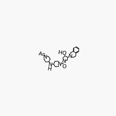 CC(=O)N1CCC(NC2CCN(C(=O)N3CC(O)C(N4CCc5ccccc5C4)C3)CC2)CC1